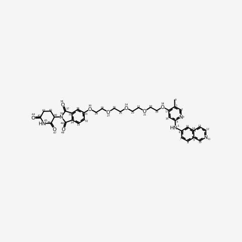 Cc1cnc(Nc2ccc3cnccc3c2)cc1OCCOCCOCCOCCOc1ccc2c(c1)C(=O)N(C1CCC(=O)NC1=O)C2=O